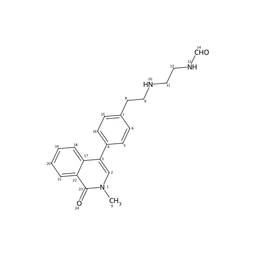 Cn1cc(-c2ccc(CCNCCNC=O)cc2)c2ccccc2c1=O